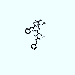 CC(=O)C(=O)N(CC(C)C)NC(=O)[C@H](Cc1ccccc1)NC(=O)C(CC(C)C)NC(=O)OCc1ccccc1